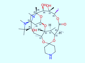 C[C@H]1CN(C)[C@H](C)[C@@H](O)[C@](C)(O)[C@@H](I)OC(=O)[C@H](C)[C@H]2OC3(CCNCC3)O[C@@](C)(C1)[C@H](O[C@@H]1O[C@H](C)C[C@H](N(C)C(C)(C)C)[C@H]1O)[C@H]2C